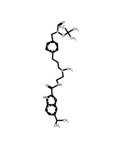 CC(C)c1ccc2[nH]c(C(=O)NCCN(C)CCCc3ccc(CN(C=O)OC(C)(C)C)cc3)cc2c1